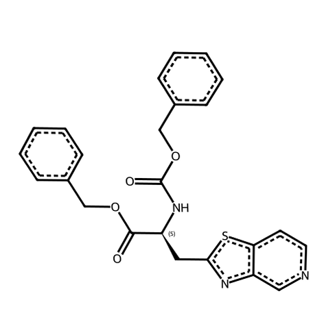 O=C(N[C@@H](Cc1nc2cnccc2s1)C(=O)OCc1ccccc1)OCc1ccccc1